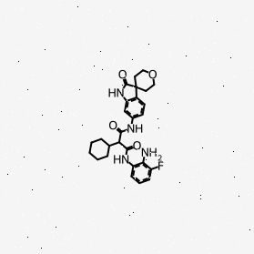 Nc1c(F)cccc1NC(=O)C(C(=O)Nc1ccc2c(c1)NC(=O)C21CCOCC1)C1CCCCC1